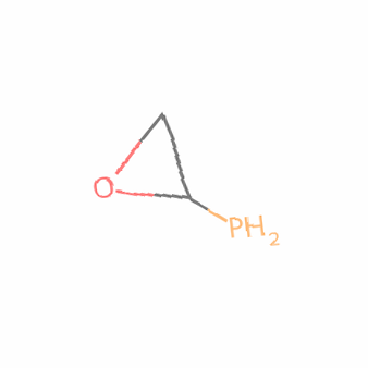 PC1CO1